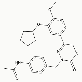 COc1ccc(C2=NN(Cc3ccc(NC(C)=O)cc3)C(=O)SC2)cc1OC1CCCC1